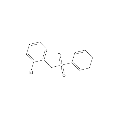 CCc1ccccc1CS(=O)(=O)C1=CCCC=C1